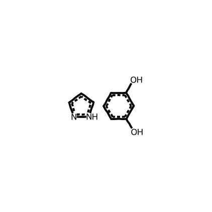 Oc1cccc(O)c1.c1cn[nH]c1